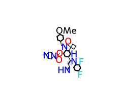 COc1ccc(CN2C(=O)C3(CCC3)c3cc(/C(=C/C=N)Nc4ccc(F)cc4F)cc(OC(=O)N4CCN(C)CC4)c32)cc1